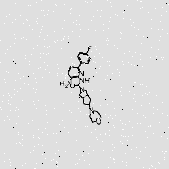 Nc1ccc(-c2ccc(F)cc2)nc1NC(=O)N1CC2CC(N3CCOCC3)CC2C1